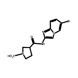 O=C(Nc1cn2cc(Br)ccc2n1)C1CCN(C(=O)O)C1